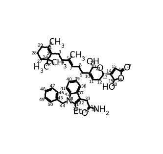 CC1=C(CC/C(C)=C/CCC2=CC[C@H](C3=CC(=O)OC3O)O[C@H]2O)C(C)(C)CCC1.CCc1c(CC(N)=O)c2ccccc2n1Cc1ccccc1